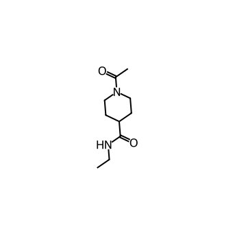 CCNC(=O)C1CCN(C(C)=O)CC1